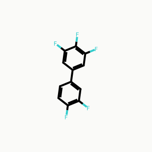 Fc1ccc(-c2cc(F)c(F)c(F)c2)cc1F